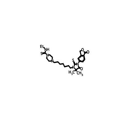 CCNC(=S)N1CCN(CCCCCCCN2C(=S)N(c3ccc4c(c3)COC4=O)C(=O)C2(C)C)CC1